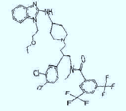 CCOCCn1c(NC2CCN(CCC(CN(C)C(=O)c3cc(C(F)(F)F)cc(C(F)(F)F)c3)c3ccc(Cl)c(Cl)c3)CC2)nc2ccccc21